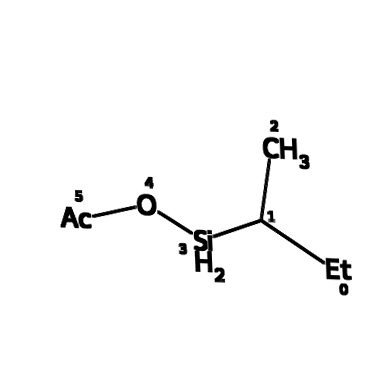 CCC(C)[SiH2]OC(C)=O